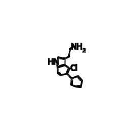 NCCc1c[nH]c2ccc(-c3ccccc3)c(Cl)c12